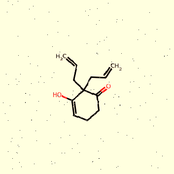 C=CCC1(CC=C)C(=O)CCC=C1O